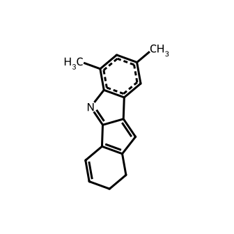 Cc1cc(C)c2c(c1)C1=CC3=C(C=CCC3)C1=N2